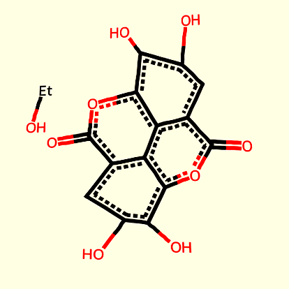 CCO.O=c1oc2c(O)c(O)cc3c(=O)oc4c(O)c(O)cc1c4c23